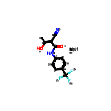 CC(O)=C(C#N)C(=O)Nc1ccc(C(F)(F)F)cc1.[NaH]